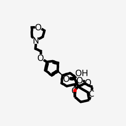 O=C(O)C12CC3CC(C1)C[C@]1(CC[C@H](c4ccc(OCCN5CCOCC5)cc4)CC1)OOC(C3)C2